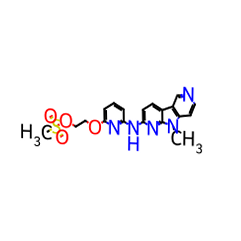 Cn1c2ccncc2c2ccc(Nc3cccc(OCCOS(C)(=O)=O)n3)nc21